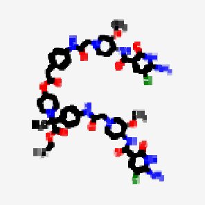 CCOC(=O)C(C)(c1ccc(NC(=O)CN2CC[C@@H](NC(=O)c3cc(Cl)c(N)[nH]c3=O)[C@@H](OC)C2)cc1)N1CCC(OC(=O)Cc2ccc(NC(=O)CN3CC[C@@H](NC(=O)c4cc(Cl)c(N)[nH]c4=O)[C@@H](OC)C3)cc2)CC1